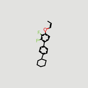 C/C=C\Oc1ccc(-c2ccc(C3CCCCC3)cc2)c(F)c1F